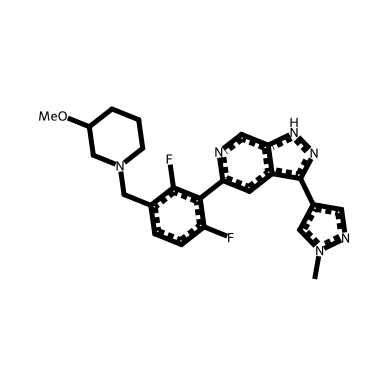 COC1CCCN(Cc2ccc(F)c(-c3cc4c(-c5cnn(C)c5)n[nH]c4cn3)c2F)C1